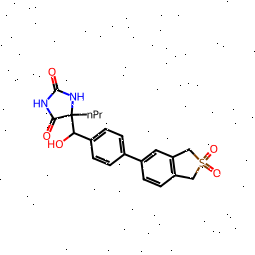 CCCC1(C(O)c2ccc(-c3ccc4c(c3)CS(=O)(=O)C4)cc2)NC(=O)NC1=O